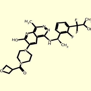 Cc1nnc(N[C@H](C)c2cccc(C(F)(F)C(C)O)c2F)c2cc(N3CCN(C(=O)C4COC4)CC3)c(O)nc12